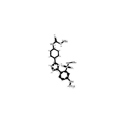 CC(C)(C)NS(=O)(=O)c1cc(NC(=O)O)ccc1-c1nnc(C2CCC(NC(=O)OC(C)(C)C)CC2)s1